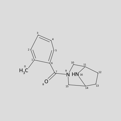 Cc1ccccc1C(=O)N1CC2CCC(C1)N2